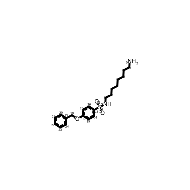 NCCCCCCCCNS(=O)(=O)c1ccc(OCc2ccccc2)cc1